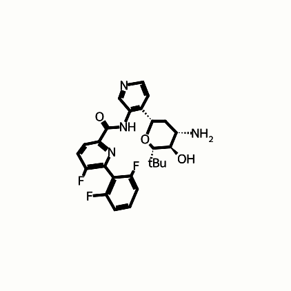 CC(C)(C)[C@@H]1O[C@H](c2ccncc2NC(=O)c2ccc(F)c(-c3c(F)cccc3F)n2)C[C@H](N)[C@H]1O